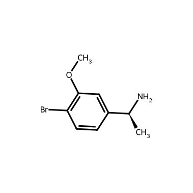 COc1cc([C@H](C)N)ccc1Br